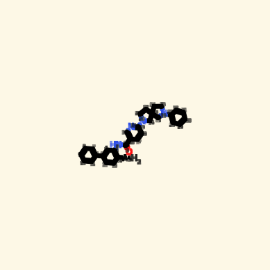 O=C(Nc1cc(-c2ccccc2)ccc1[AsH2])c1ccc(N2CCC3(CCN(c4ccccc4)C3)C2)nc1